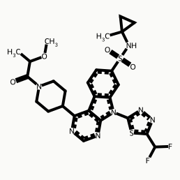 COC(C)C(=O)N1CCC(c2ncnc3c2c2ccc(S(=O)(=O)NC4(C)CC4)cc2n3-c2nnc(C(F)F)s2)CC1